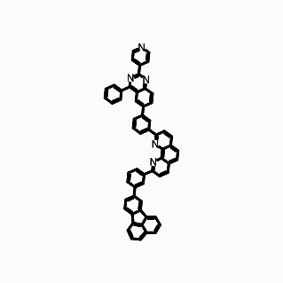 c1ccc(-c2nc(-c3ccncc3)nc3ccc(-c4cccc(-c5ccc6ccc7ccc(-c8cccc(-c9ccc%10c(c9)-c9cccc%11cccc-%10c9%11)c8)nc7c6n5)c4)cc23)cc1